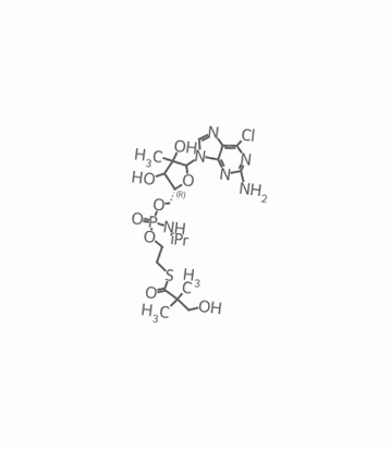 CC(C)NP(=O)(OCCSC(=O)C(C)(C)CO)OC[C@H]1OC(n2cnc3c(Cl)nc(N)nc32)C(C)(O)C1O